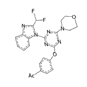 CC(=O)c1ccc(Oc2nc(N3CCOCC3)nc(-n3c(C(F)F)nc4ccccc43)n2)cc1